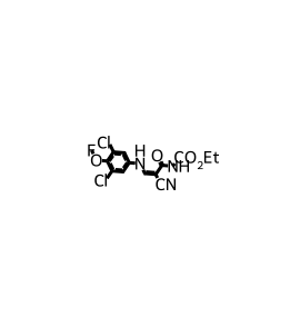 CCOC(=O)NC(=O)/C(C#N)=C\Nc1cc(Cl)c(OF)c(Cl)c1